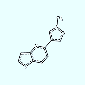 Cn1cc(-c2ccc3sccc3n2)cn1